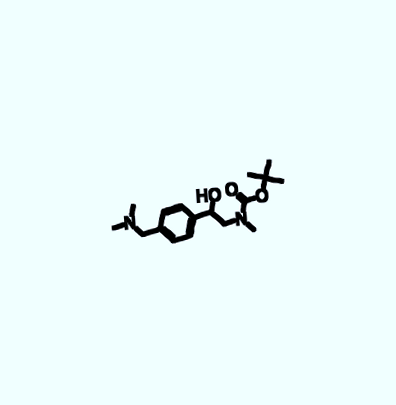 CN(C)Cc1ccc(C(O)CN(C)C(=O)OC(C)(C)C)cc1